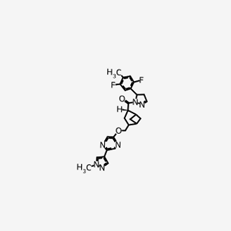 Cc1cc(F)c(C2CC=NN2C(=O)[C@H]2CC(COc3cnc(-c4cnn(C)c4)cn3)C3CC2C3)cc1F